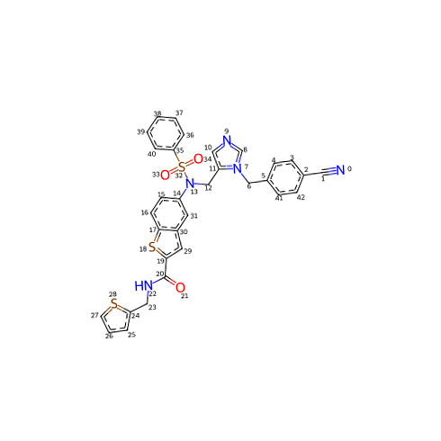 N#Cc1ccc(Cn2cncc2CN(c2ccc3sc(C(=O)NCc4cccs4)cc3c2)S(=O)(=O)c2ccccc2)cc1